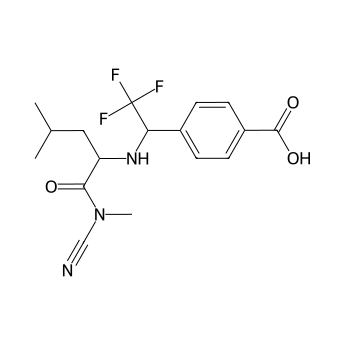 CC(C)CC(NC(c1ccc(C(=O)O)cc1)C(F)(F)F)C(=O)N(C)C#N